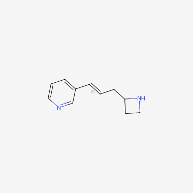 C(=C\c1cccnc1)/CC1CCN1